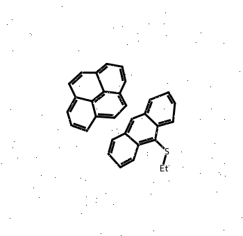 CCSc1c2ccccc2cc2ccccc12.c1cc2ccc3cccc4ccc(c1)c2c34